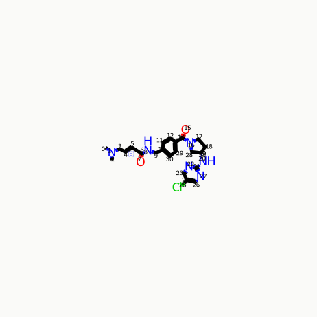 CN(C)C/C=C/C(=O)NCc1ccc(C(=O)N2CC[C@H](Nc3ncc(Cl)cn3)C2)cc1